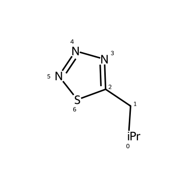 CC(C)Cc1nnns1